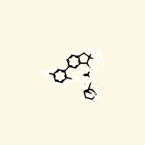 CC1(C)Cc2ccc(-c3cc(F)ccc3F)cc2C1NC(=O)O[C@H]1CN2CCC1CC2